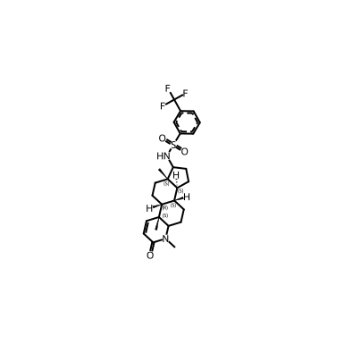 CN1C(=O)C=C[C@@]2(C)C1CC[C@@H]1[C@H]2CC[C@]2(C)C(NS(=O)(=O)c3cccc(C(F)(F)F)c3)CC[C@@H]12